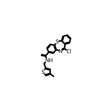 C=C(NCc1cc(C)cs1)c1ccc2c(c1)N=C(Cl)c1ccccc1S2